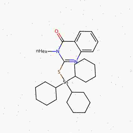 CCCCCCn1c([S][Sn]([CH]2CCCCC2)([CH]2CCCCC2)[CH]2CCCCC2)nc2ccccc2c1=O